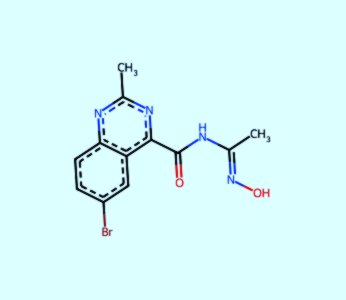 CC(=NO)NC(=O)c1nc(C)nc2ccc(Br)cc12